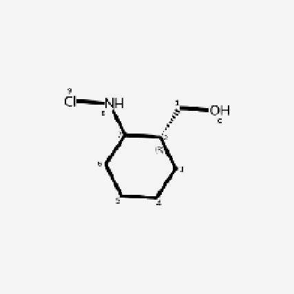 OC[C@@H]1CCCCC1NCl